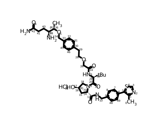 Cc1ncsc1-c1ccc(CNC(=O)[C@@H]2C[C@@H](O)CN2C(=O)[C@@H](NC(=O)COCCc2ccc(CO[C@H](C)[C@@H](N)CCC(N)=O)cc2)C(C)(C)C)cc1.Cl